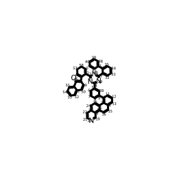 C1=C(c2nc(-c3cccc(-c4cccc5ccc6c7cnccc7ccc6c45)c3)nc(-c3ccccc3-c3ccccc3)n2)c2c(oc3c2ccc2ccccc23)CC1